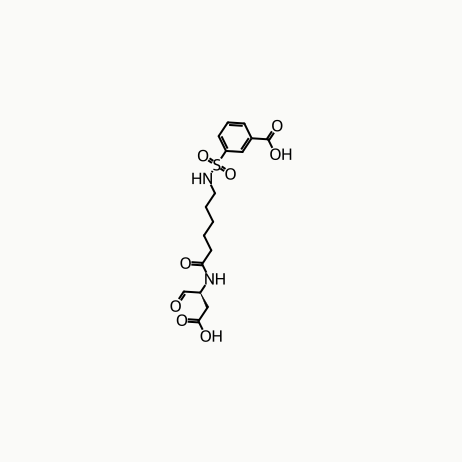 O=C[C@H](CC(=O)O)NC(=O)CCCCCNS(=O)(=O)c1cccc(C(=O)O)c1